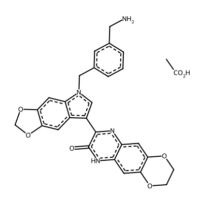 CC(=O)O.NCc1cccc(Cn2cc(-c3nc4cc5c(cc4[nH]c3=O)OCCO5)c3cc4c(cc32)OCO4)c1